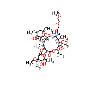 CC[C@H]1OC(=O)[C@H](C)[C@@H](OC2C[C@@](C)(OC)[C@@H](O)[C@H](C)O2)[C@H](C)[C@@H](O[C@@H]2O[C@H](C)C[C@H](C)[C@H]2O)[C@](C)(O)C[C@@H](C)/C(=N\OCOCCOC)[C@H](C)[C@@H](O)[C@]1(C)O